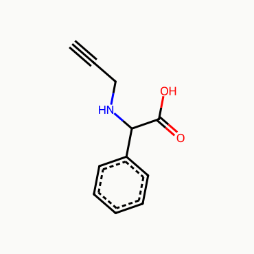 C#CCNC(C(=O)O)c1ccccc1